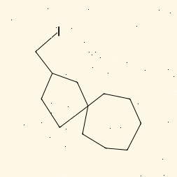 ICC1CCC2(CCCCCC2)C1